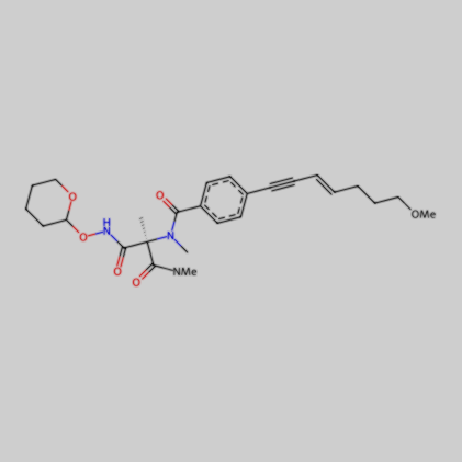 CNC(=O)[C@@](C)(C(=O)NOC1CCCCO1)N(C)C(=O)c1ccc(C#CC=CCCCOC)cc1